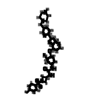 Cc1ccc(S(=O)(=O)N2CC(NC(=O)Nc3ccc(Oc4ccnc5cc(-c6ccc(CN7CCN(C)CC7)cn6)sc45)c(F)c3)C2)cc1